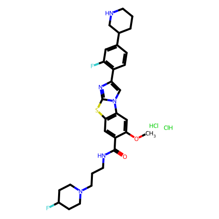 COc1cc2c(cc1C(=O)NCCCN1CCC(F)CC1)sc1nc(-c3ccc(C4CCCNC4)cc3F)cn12.Cl.Cl